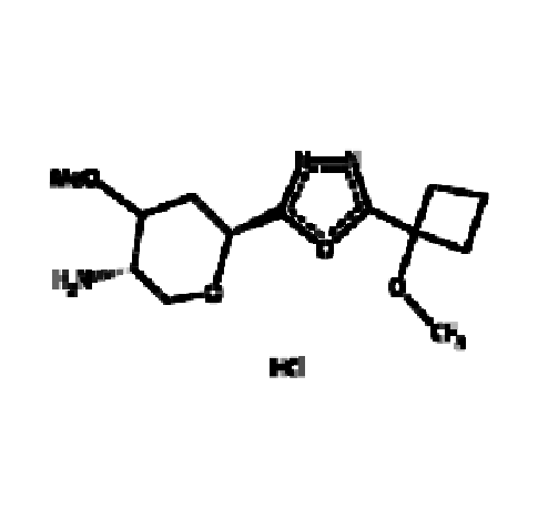 COC1C[C@@H](c2nnc(C3(OC(F)(F)F)CCC3)o2)OC[C@@H]1N.Cl